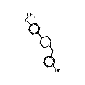 FC(F)(F)Oc1ccc(C2CCN(Cc3cccc(Br)c3)CC2)cc1